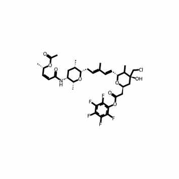 CC(=O)O[C@@H](C)/C=C\C(=O)N[C@@H]1C[C@H](C)[C@H](C/C=C(C)/C=C/[C@H]2O[C@H](CC(=O)Oc3c(F)c(F)c(F)c(F)c3F)C[C@@](O)(CCl)C2C)O[C@@H]1C